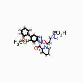 CN(CCC(=O)N1CCCCC1C(=O)Nc1ccc(-c2ccccc2OC(F)(F)F)c(Cl)c1)C(=O)O